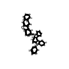 C1=Cc2c(c3c4c5ccccc5n(-c5ccc6oc7cc8ccccc8cc7c6c5)c4ccc3n2-c2ccccc2)CC1